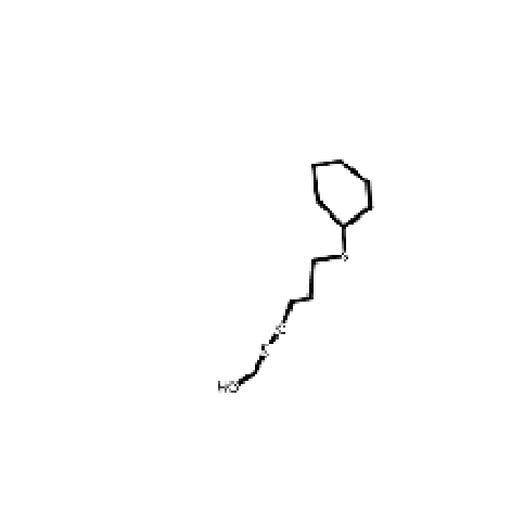 OCCCCCCSC1CCCCC1